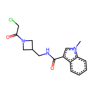 Cn1cc(C(=O)NCC2CN(C(=O)CCl)C2)c2ccccc21